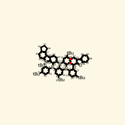 CC(C)(C)c1ccc(N2c3cc(C(C)(C)C)cc4c3B(c3cc(C(C)(C)C)ccc3N4c3ccc(C(C)(C)C)cc3-c3cccc4c3oc3ccccc34)c3ccc4c5c6c(ccc5n(C(C)(C)C)c4c32)CCC6)cc1